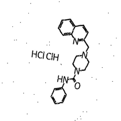 Cl.Cl.O=C(Nc1ccccc1)N1CCN(Cc2ccc3ccccc3n2)CC1